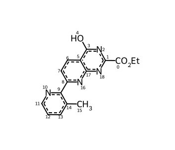 CCOC(=O)c1nc(O)c2ccc(-c3ncccc3C)nc2n1